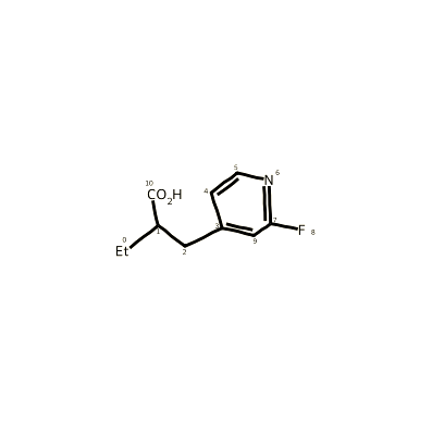 CCC(Cc1ccnc(F)c1)C(=O)O